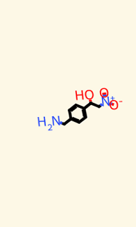 NCc1ccc(C(O)C[N+](=O)[O-])cc1